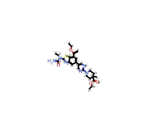 C=C(OCC)c1cc(-c2cnc(N3CCC(C)(C(=O)OCC)CC3)nc2)cc2nc(N(CC)C(N)=O)sc12